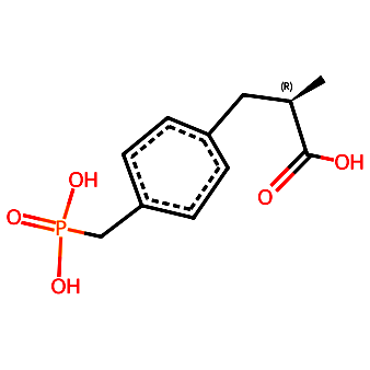 C[C@H](Cc1ccc(CP(=O)(O)O)cc1)C(=O)O